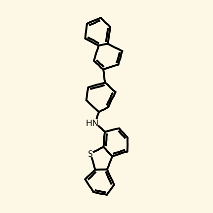 C1=CC(Nc2cccc3c2sc2ccccc23)CC=C1c1ccc2ccccc2c1